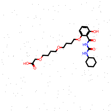 O=C(O)COCCCCOCCCCOc1cccc(O)c1C(=O)NC(=O)NC1CCCCC1